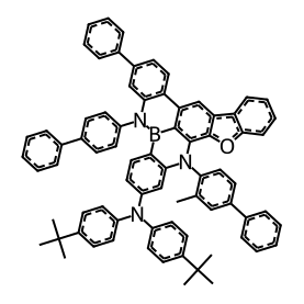 Cc1cc(-c2ccccc2)ccc1N1c2cc(N(c3ccc(C(C)(C)C)cc3)c3ccc(C(C)(C)C)cc3)ccc2B2c3c(cc4c(oc5ccccc54)c31)-c1ccc(-c3ccccc3)cc1N2c1ccc(-c2ccccc2)cc1